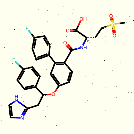 CS(=O)(=O)CC[C@H](NC(=O)c1ccc(OC(Cc2ncc[nH]2)c2ccc(F)cc2)cc1-c1ccc(F)cc1)C(=O)O